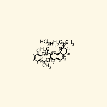 C=[C]([Fe][c]1c(Cl)cccc1C(C)C)c1ccc2ccc3ccc(C(C)C)nc3c2n1.Cl.N